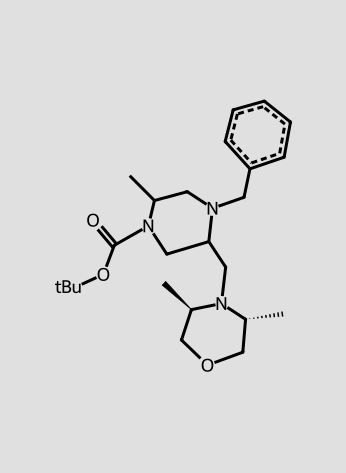 CC1CN(Cc2ccccc2)C(CN2[C@H](C)COC[C@H]2C)CN1C(=O)OC(C)(C)C